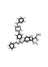 Cc1c(C(=O)O)oc2ccc(SN(CCc3ccccc3)c3ccc(N4CCN(Cc5ccccc5)CC4)cc3)cc12